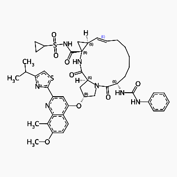 COc1ccc2c(O[C@@H]3C[C@H]4C(=O)N[C@]5(C(=O)NS(=O)(=O)C6CC6)C[C@H]5/C=C/CCCCC[C@H](NC(=O)Nc5ccccc5)C(=O)N4C3)cc(-c3nc(C(C)C)cs3)nc2c1C